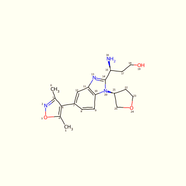 Cc1noc(C)c1-c1ccc2c(c1)nc([C@@H](N)CCO)n2[C@H]1CCOC1